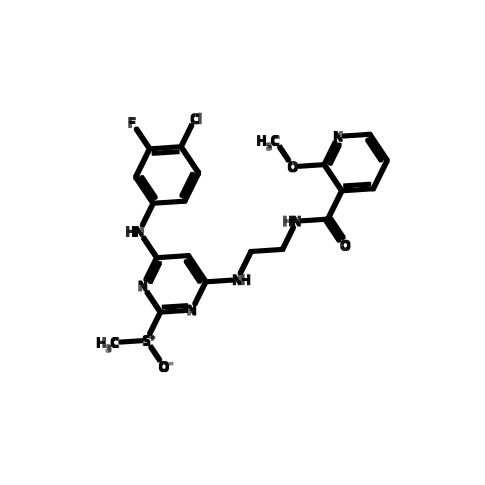 COc1ncccc1C(=O)NCCNc1cc(Nc2ccc(Cl)c(F)c2)nc([S+](C)[O-])n1